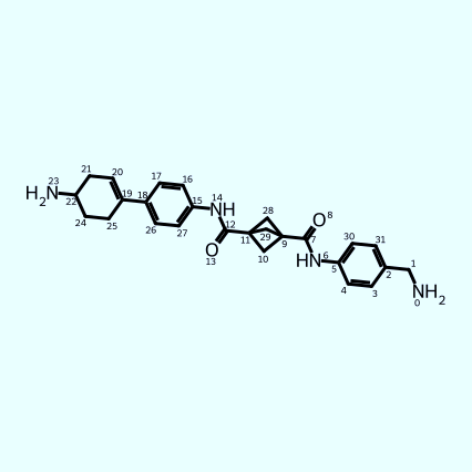 NCc1ccc(NC(=O)C23CC(C(=O)Nc4ccc(C5=CCC(N)CC5)cc4)(C2)C3)cc1